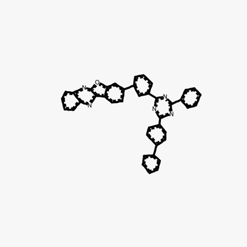 c1ccc(-c2ccc(-c3nc(-c4ccccc4)nc(-c4cccc(-c5ccc6c(c5)oc5nc7ccccc7nc56)c4)n3)cc2)cc1